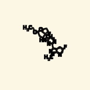 CCOC(=O)CC(Nc1nc(-c2nn(C)c3ncc(F)cc23)ncc1F)C1(C)CCCC1